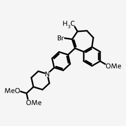 COc1ccc2c(c1)CCC(C)C(Br)=C2c1ccc(N2CCC(C(OC)OC)CC2)cc1